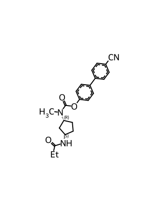 CCC(=O)N[C@H]1CC[C@@H](N(C)C(=O)Oc2ccc(-c3ccc(C#N)cc3)cc2)C1